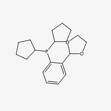 c1ccc(P(C2CCCC2)C2CCCC2)c(C2OCCO2)c1